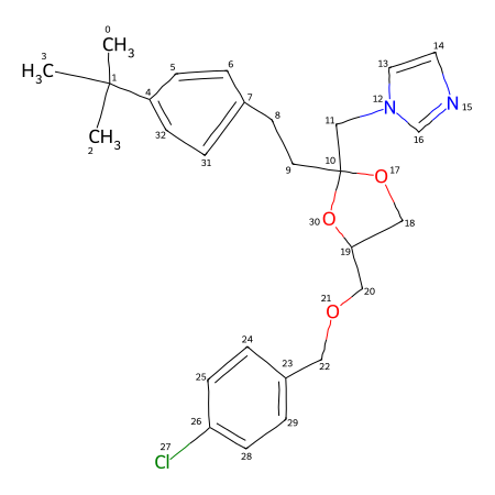 CC(C)(C)c1ccc(CCC2(Cn3ccnc3)OCC(COCc3ccc(Cl)cc3)O2)cc1